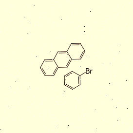 Brc1ccccc1.c1ccc2cc3ccccc3cc2c1